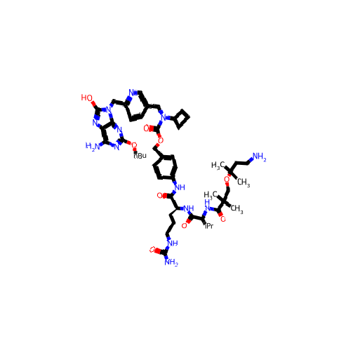 CCCCOc1nc(N)c2nc(O)n(Cc3ccc(CN(C(=O)OCc4ccc(NC(=O)[C@H](CCCNC(N)=O)NC(=O)C(NC(=O)C(C)(C)COC(C)(C)CCN)C(C)C)cc4)C4CCC4)cn3)c2n1